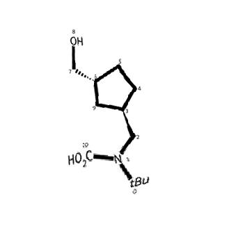 CC(C)(C)N(C[C@@H]1CC[C@@H](CO)C1)C(=O)O